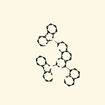 c1cnc2c(-c3nc(-n4c5ccccc5c5cccnc54)nc4c3ccc3ccc(-n5c6ccccc6c6cccnc65)nc34)cccc2c1